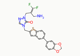 NCC(Cn1ncn(Cc2cc3cc(-c4ccc5c(c4)OCO5)ccc3s2)c1=O)=C(F)F